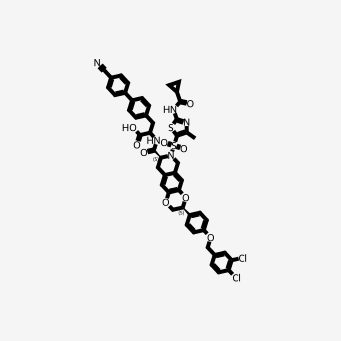 Cc1nc(NC(=O)C2CC2)sc1S(=O)(=O)N1Cc2cc3c(cc2C[C@H]1C(=O)NC(Cc1ccc(-c2ccc(C#N)cc2)cc1)C(=O)O)OC[C@H](c1ccc(OCc2ccc(Cl)c(Cl)c2)cc1)O3